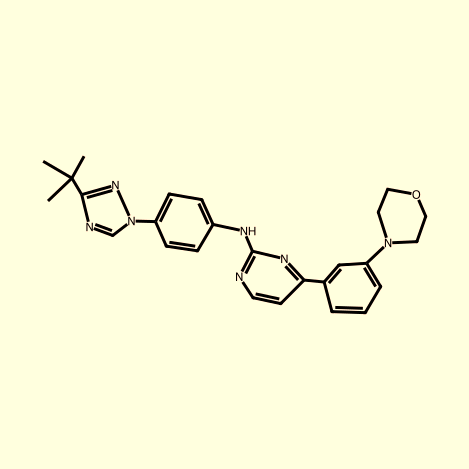 CC(C)(C)c1ncn(-c2ccc(Nc3nccc(-c4cccc(N5CCOCC5)c4)n3)cc2)n1